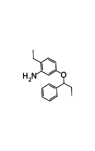 CCc1ccc(OC(CC)c2ccccc2)cc1N